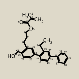 C=C(C)C(=O)OCCCc1cc(-c2ccc(-c3ccccc3)cc2CC)ccc1CO